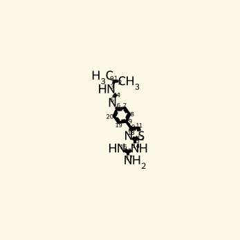 CC(C)N/C=N/c1ccc(-c2csc(NC(=N)N)n2)cc1